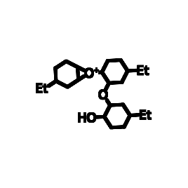 CCC1CCC(O)C(OC2CC(CC)CCC2[O+]2C3CCC(CC)CC32)C1